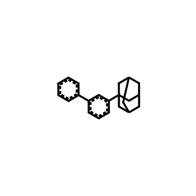 [c]1ccc(-c2cccc(C34CC5CC(CC(C5)C3)C4)c2)cc1